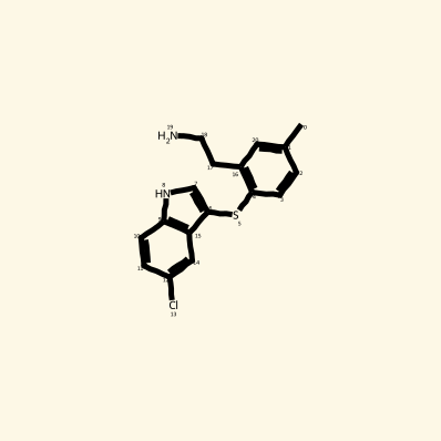 Cc1ccc(Sc2c[nH]c3ccc(Cl)cc23)c(CCN)c1